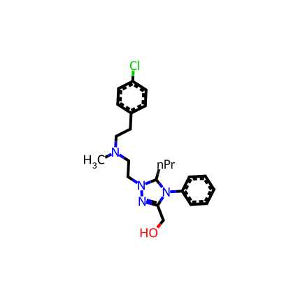 CCCC1N(CCN(C)CCc2ccc(Cl)cc2)N=C(CO)N1c1ccccc1